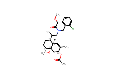 COCC(=O)N(Cc1ccccc1Cl)CC(C)[C@@H]1CC[C@@H](C)[C@]2(O)[CH][C@@H](OC(C)=O)C(C)=C[C@H]12